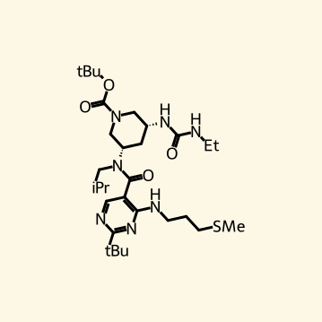 CCNC(=O)N[C@@H]1C[C@H](N(CC(C)C)C(=O)c2cnc(C(C)(C)C)nc2NCCCSC)CN(C(=O)OC(C)(C)C)C1